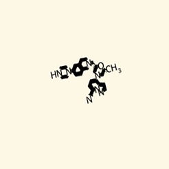 C[C@@H]1CN(c2ccc(C#N)n3nccc23)C[C@H](CN2CCc3cc(N4CCNCC4)ccc3C2)O1